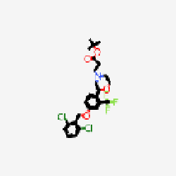 CC(C)(C)OC(=O)CCN1CCOC(c2ccc(OCc3c(Cl)cccc3Cl)cc2C(F)(F)F)C1